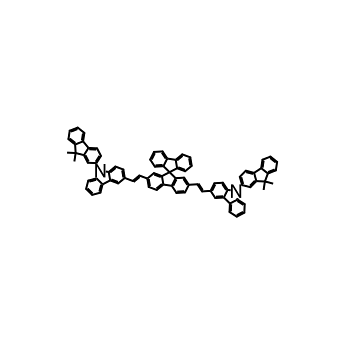 CC1(C)c2ccccc2-c2ccc(-n3c4ccccc4c4cc(/C=C/c5ccc6c(c5)C5(c7ccccc7-c7ccccc75)c5cc(/C=C/c7ccc8c(c7)c7ccccc7n8-c7ccc8c(c7)C(C)(C)c7ccccc7-8)ccc5-6)ccc43)cc21